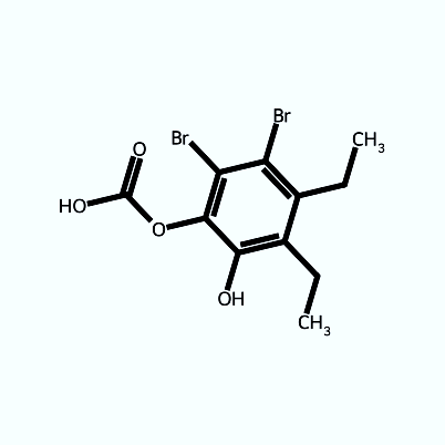 CCc1c(O)c(OC(=O)O)c(Br)c(Br)c1CC